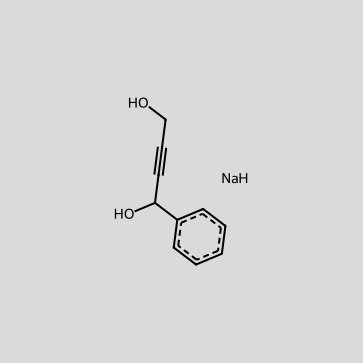 OCC#CC(O)c1ccccc1.[NaH]